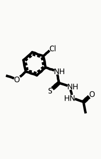 COc1ccc(Cl)c(NC(=S)NNC(C)=O)c1